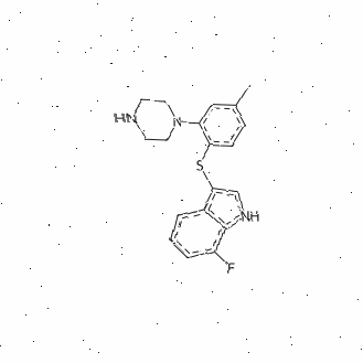 Cc1ccc(Sc2c[nH]c3c(F)cccc23)c(N2CCNCC2)c1